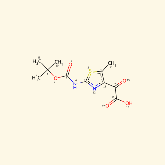 Cc1sc(NC(=O)OC(C)(C)C)nc1C(=O)C(=O)O